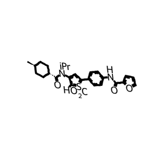 CC(C)N(c1cc(-c2ccc(NC(=O)c3ccco3)cc2)sc1C(=O)O)C(=O)[C@H]1CC[C@H](C)CC1